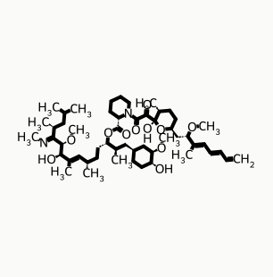 C=C/C=C/C=C(\C)[C@H](C[C@@H]1CC[C@@H](C)[C@](O)(C(=O)C(=O)N2CCCC[C@H]2C(=O)O[C@@H](CC[C@H](C)/C=C(\C)[C@@H](O)[C@@H](OC)/C(=N/C)[C@H](C)CC(C)C)[C@H](C)C[C@@H]2CC[C@@H](O)[C@H](OC)C2)O1)OC